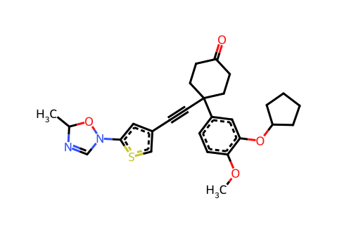 COc1ccc(C2(C#Cc3csc(N4C=NC(C)O4)c3)CCC(=O)CC2)cc1OC1CCCC1